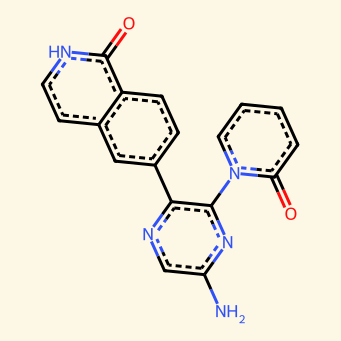 Nc1cnc(-c2ccc3c(=O)[nH]ccc3c2)c(-n2ccccc2=O)n1